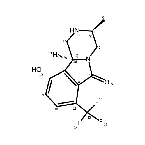 C[C@H]1CN2C(=O)c3c(cccc3C(F)(F)F)[C@H]2CN1.Cl